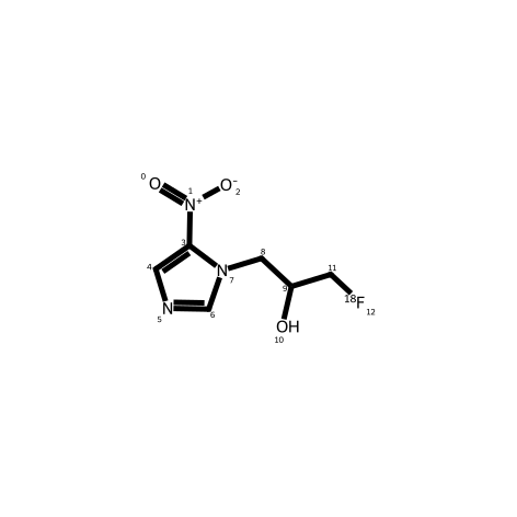 O=[N+]([O-])c1cncn1CC(O)C[18F]